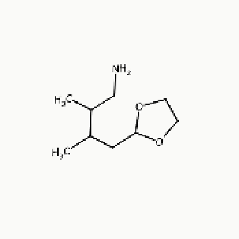 CC(CN)C(C)CC1OCCO1